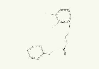 O=Cc1cccc(OCNC(=O)OCc2ccccc2)c1Br